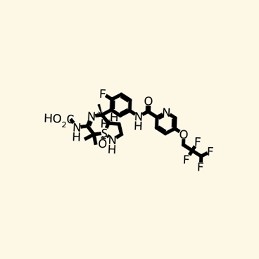 CC1(C)C(NC(=O)O)=N[C@](C)(c2cc(NC(=O)c3ccc(OCC(F)(F)C(F)F)cn3)ccc2F)[C@@H]2CCN[SH]21=O